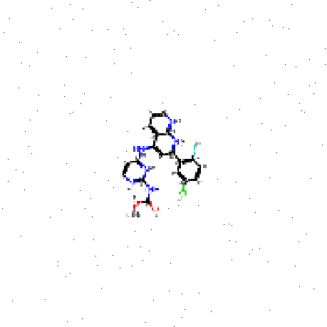 CC(C)(C)OC(=O)Nc1nccc(Nc2cc(-c3cc(Cl)ccc3F)nc3ncccc23)n1